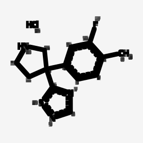 Cc1ccc(C2(c3ncns3)CCNC2)cc1F.Cl